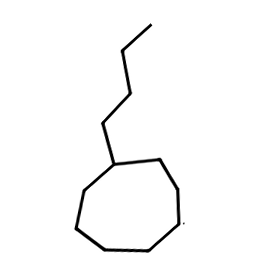 CCCCC1CC[CH]CCCC1